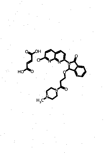 CN1CCN(C(=O)CCOC2c3ccccc3C(=O)N2c2ccc3ccc(Cl)nc3n2)CC1.O=C(O)/C=C/C(=O)O